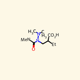 CCC(CN(C(=O)NC)N(C)C)C(=O)O